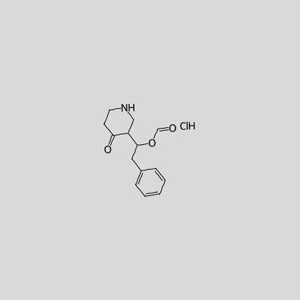 Cl.O=COC(Cc1ccccc1)C1CNCCC1=O